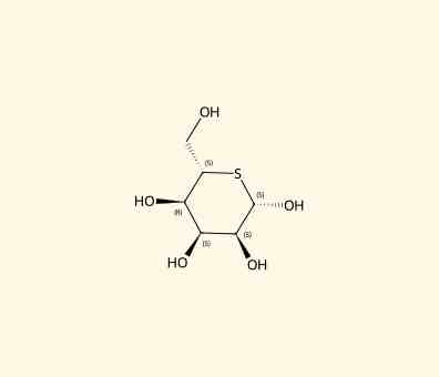 OC[C@@H]1S[C@H](O)[C@@H](O)[C@@H](O)[C@H]1O